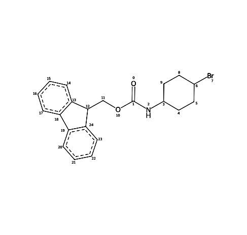 O=C(NC1CCC(Br)CC1)OCC1c2ccccc2-c2ccccc21